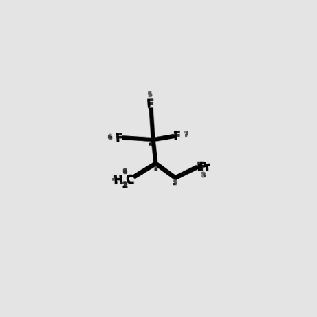 [CH2]C(CC(C)C)C(F)(F)F